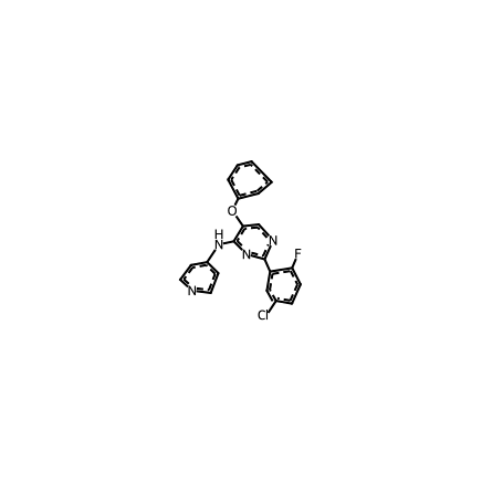 Fc1ccc(Cl)cc1-c1ncc(Oc2ccccc2)c(Nc2ccncc2)n1